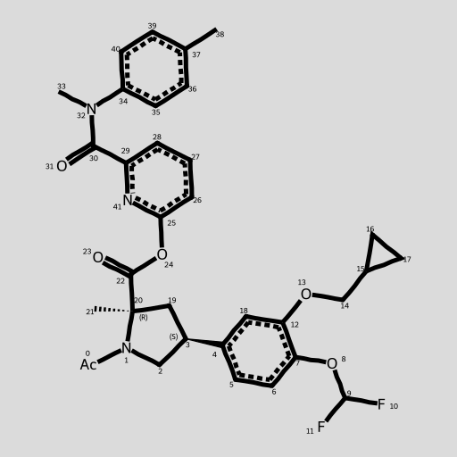 CC(=O)N1C[C@H](c2ccc(OC(F)F)c(OCC3CC3)c2)C[C@]1(C)C(=O)Oc1cccc(C(=O)N(C)c2ccc(C)cc2)n1